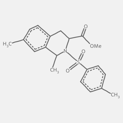 COC(=O)C1Cc2ccc(C)cc2C(C)N1S(=O)(=O)c1ccc(C)cc1